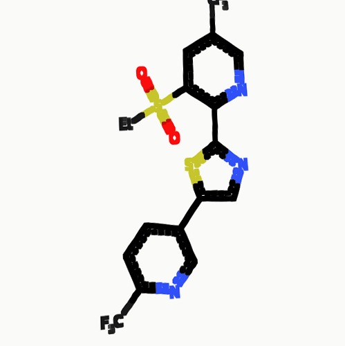 CCS(=O)(=O)c1cc(C(F)(F)F)cnc1-c1ncc(-c2ccc(C(F)(F)F)nc2)s1